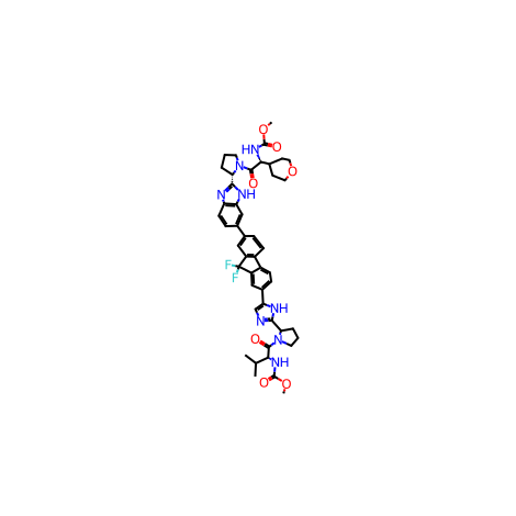 COC(=O)N[C@H](C(=O)N1CCCC1c1ncc(-c2ccc3c(c2)C(F)(F)c2cc(-c4ccc5nc([C@@H]6CCCN6C(=O)[C@@H](NC(=O)OC)C6CCOCC6)[nH]c5c4)ccc2-3)[nH]1)C(C)C